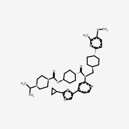 COc1ccc([C@H]2CC[C@H](CN(c3cc(-c4coc(C5CC5)n4)ccn3)C(=O)[C@H]3CC[C@H](OC(=O)N4CCN(C(C)C)CC4)CC3)CC2)nc1C